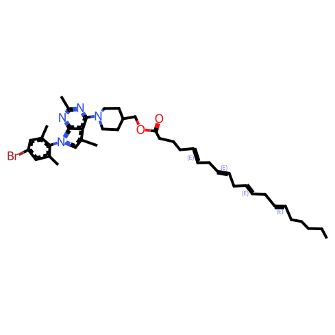 CCCCC/C=C/C/C=C/C/C=C/C/C=C/CCCC(=O)OCC1CCN(c2nc(C)nc3c2c(C)cn3-c2c(C)cc(Br)cc2C)CC1